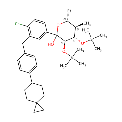 CC[C@H]1OC(O)(c2ccc(Cl)c(Cc3ccc(C4CCC5(CC4)CC5)cc3)c2)[C@H](O[Si](C)(C)C)[C@@H](O[Si](C)(C)C)[C@@H]1C